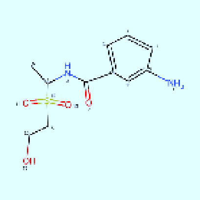 CC(NC(=O)c1cccc(N)c1)S(=O)(=O)CCO